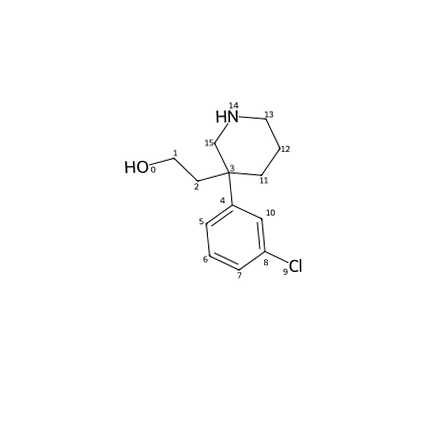 OCCC1(c2cccc(Cl)c2)CCCNC1